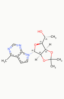 Cc1ncnc2c1ccn2[C@@H]1O[C@@H]([C@@H](C)O)[C@H]2OC(C)(C)O[C@H]21